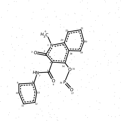 Cn1c(=O)c(C(=O)Nc2ccccc2)c(OP=O)c2ccccc21